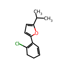 CC(C)c1ccc(C2=C(Cl)CCC=C2)o1